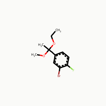 CCOC(C)(OC)c1ccc(F)c(Br)c1